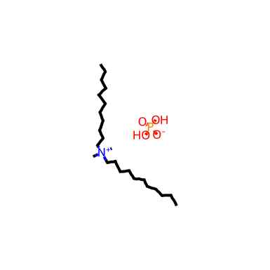 CCCCCCCCCCC[N+](C)(C)CCCCCCCCCCC.O=P([O-])(O)O